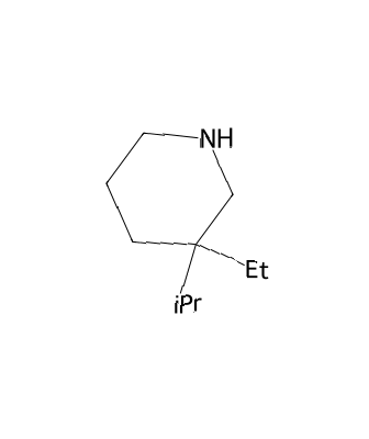 CCC1(C(C)C)CCCNC1